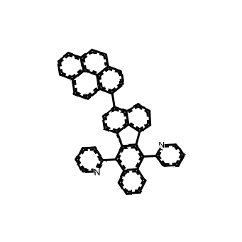 c1ccc(-c2c3c(c(-c4ccccn4)c4ccccc24)-c2ccc(-c4ccc5ccc6cccc7ccc4c5c67)c4cccc-3c24)nc1